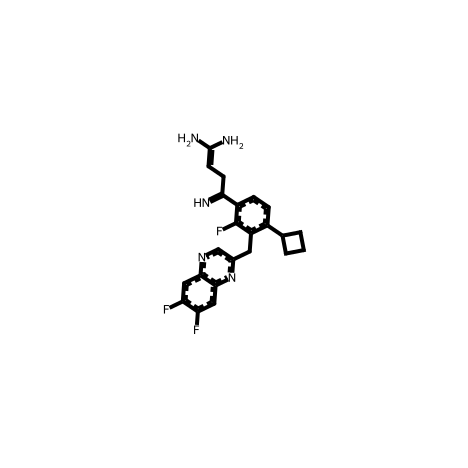 N=C(CC=C(N)N)c1ccc(C2CCC2)c(Cc2cnc3cc(F)c(F)cc3n2)c1F